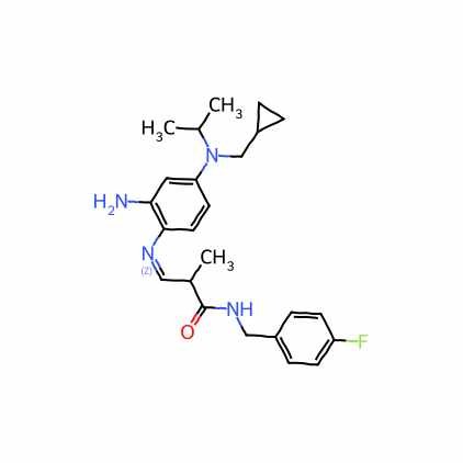 CC(/C=N\c1ccc(N(CC2CC2)C(C)C)cc1N)C(=O)NCc1ccc(F)cc1